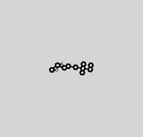 c1ccc2c(-c3c4ccccc4c(-c4ccc(-c5ccc6c(ccc7c6sc6ccc8c9ccccc9oc8c67)c5)cc4)c4ccccc34)cccc2c1